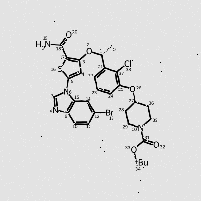 C[C@@H](Oc1cc(-n2cnc3ccc(Br)cc32)sc1C(N)=O)c1cccc(OC2CCN(C(=O)OC(C)(C)C)CC2)c1Cl